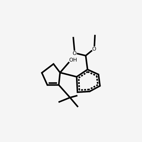 COC(OC)c1ccccc1C1(O)CCC=C1C(C)(C)C